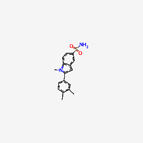 Cc1ccc(-c2cc3cc(S(N)(=O)=O)ccc3n2C)cc1C